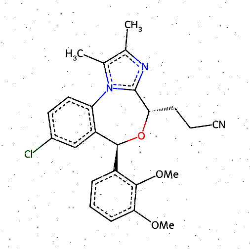 COc1cccc([C@@H]2O[C@@H](CCC#N)c3nc(C)c(C)n3-c3ccc(Cl)cc32)c1OC